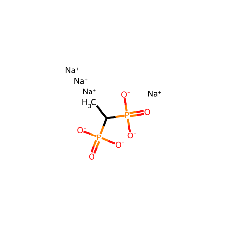 CC(P(=O)([O-])[O-])P(=O)([O-])[O-].[Na+].[Na+].[Na+].[Na+]